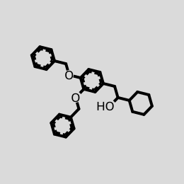 OC(Cc1ccc(OCc2ccccc2)c(OCc2ccccc2)c1)C1CCCCC1